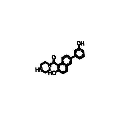 O=C(c1c(O)ccc2cc(-c3cccc(O)c3)ccc12)N1CCNCC1